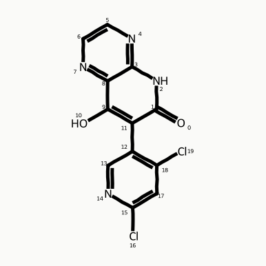 O=c1[nH]c2nccnc2c(O)c1-c1cnc(Cl)cc1Cl